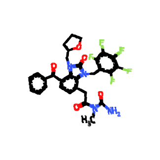 CN(C(N)=O)C(=O)Cc1ccc(C(=O)c2ccccc2)c2c1n(Cc1c(F)c(F)c(F)c(F)c1F)c(=O)n2CC1CCCO1